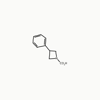 O=C(O)N1CC(c2ccccc2)C1